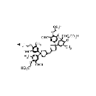 Cc1cc(C2(c3cc(C)c(OCC(=O)O)c(C=O)c3)CCC(CC3CCC(c4cc(C)c(OCC(=O)O)c(C=O)c4)(c4cc(C)c(OCC(=O)O)c(C=O)c4)CC3)CC2)cc(C=O)c1OCC(=O)O